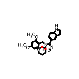 COc1ccc(CN2C(c3ccc4[nH]ccc4c3)=NO[C@]23CN2CCC3CC2)c(OC)c1